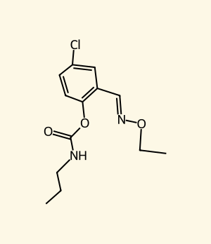 CCCNC(=O)Oc1ccc(Cl)cc1/C=N/OCC